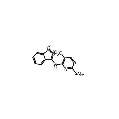 CCOC(=O)c1cnc(SC)nc1Nc1n[nH]c2ccccc12